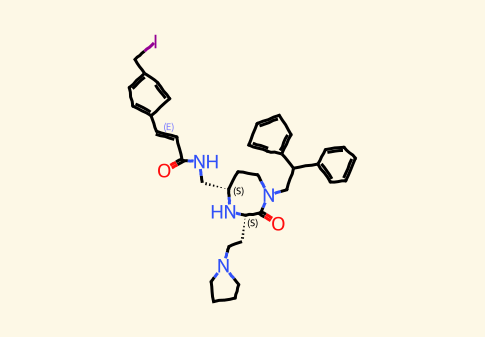 O=C(/C=C/c1ccc(CI)cc1)NC[C@@H]1CCN(CC(c2ccccc2)c2ccccc2)C(=O)[C@H](CCN2CCCC2)N1